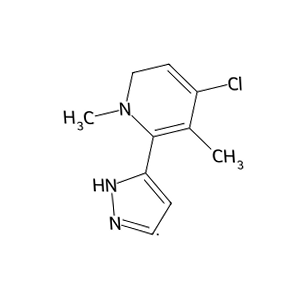 CC1=C(c2c[c]n[nH]2)N(C)CC=C1Cl